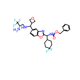 N[C@@H](CNC(c1ccc2oc(C(NC(=O)OCc3ccccc3)C3CCC(F)(F)CC3)nc2c1)C1COC1)C(F)(F)F